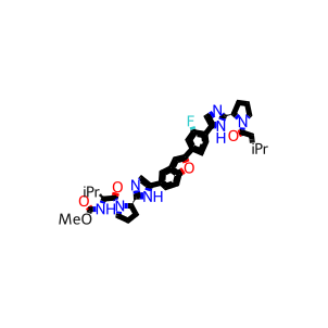 COC(=O)N[C@H](C(=O)N1CCC[C@H]1c1ncc(-c2ccc3oc(-c4ccc(-c5cnc([C@@H]6CCCN6C(=O)CC(C)C)[nH]5)c(F)c4)cc3c2)[nH]1)C(C)C